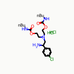 CCCCNC(=O)OCCN(CCOC(=O)NCCCC)CC(N)c1ccc(Cl)cc1.Cl.Cl